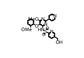 COc1ccccc1Oc1c(NS(=O)(=O)c2ccc(CO)cn2)nc(-c2ccncc2)nc1OC